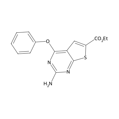 CCOC(=O)c1cc2c(Oc3ccccc3)nc(N)nc2s1